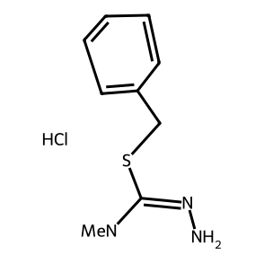 CNC(=NN)SCc1ccccc1.Cl